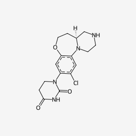 O=C1CCN(c2cc3c(cc2Cl)N2CCNC[C@@H]2CCO3)C(=O)N1